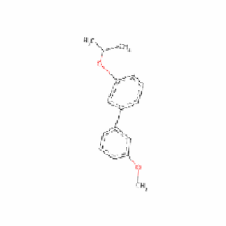 COc1cc[c]c(-c2cccc(OC(C)C)c2)c1